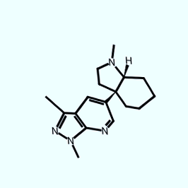 Cc1nn(C)c2ncc([C@]34CCCC[C@H]3N(C)CC4)cc12